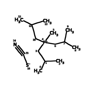 CC(C)C[P+](C)(CC(C)C)CC(C)C.N#C[S-]